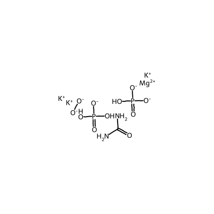 NC(N)=O.O=P([O-])(O)O.O=P([O-])([O-])O.[K+].[K+].[K+].[Mg+2].[O-][O-]